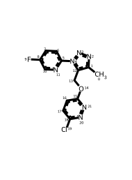 Cc1nnn(-c2ccc(F)cn2)c1COc1ccc(Cl)nn1